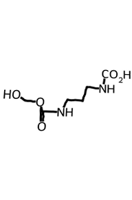 O=C(O)NCCCNC(=O)OCO